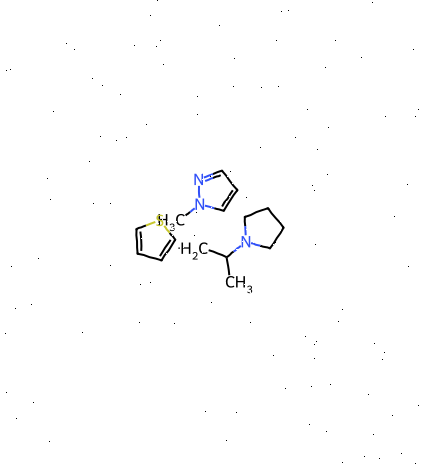 Cn1cccn1.[CH2]C(C)N1CCCC1.c1ccsc1